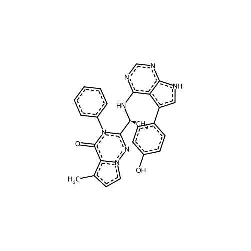 Cc1ccn2nc([C@H](C)Nc3ncnc4[nH]cc(-c5ccc(O)cc5)c34)n(-c3ccccc3)c(=O)c12